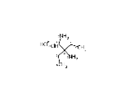 CCC(N)(CC)CN.Cl.Cl